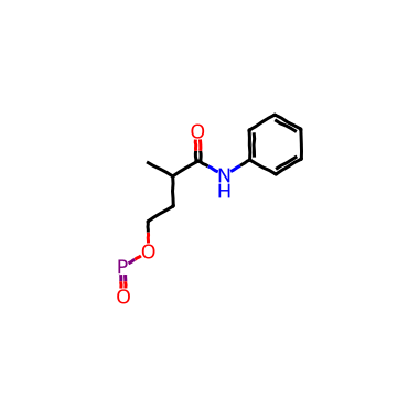 CC(CCOP=O)C(=O)Nc1ccccc1